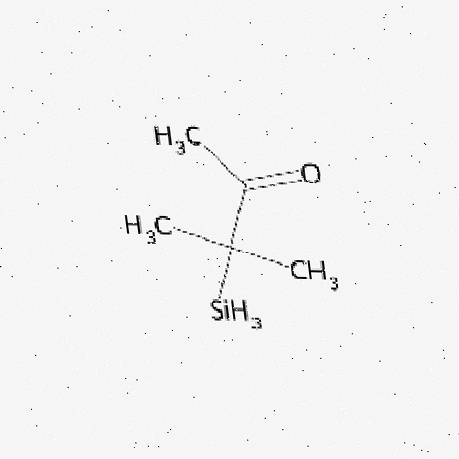 CC(=O)C(C)(C)[SiH3]